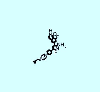 Nc1nc(F)c(-c2ccc(N3CCN(CCC4CC4)CC3)cc2)cc1-c1cc(F)c2c(=O)[nH]ccc2c1